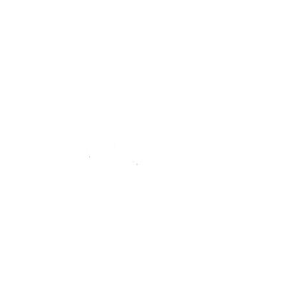 CCC1Cc2cc(OCCCOC)c(OC)cc2-c2cc(=O)c(CN3CCCC3C(=O)O)cn21